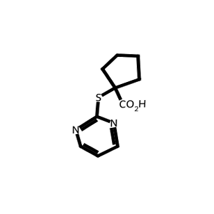 O=C(O)C1(Sc2ncccn2)CCCC1